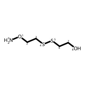 NOCCSSCCO